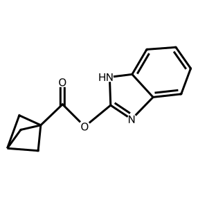 O=C(Oc1nc2ccccc2[nH]1)C12CC(C1)C2